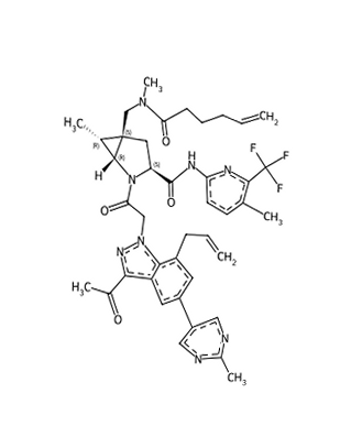 C=CCCCC(=O)N(C)C[C@@]12C[C@@H](C(=O)Nc3ccc(C)c(C(F)(F)F)n3)N(C(=O)Cn3nc(C(C)=O)c4cc(-c5cnc(C)nc5)cc(CC=C)c43)[C@@H]1[C@@H]2C